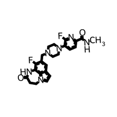 CNC(=O)c1ccc(N2CCN(Cc3cc4ccn5c4c(c3F)NC(=O)CC5)CC2)c(F)n1